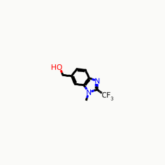 Cn1c(C(F)(F)F)nc2ccc(CO)cc21